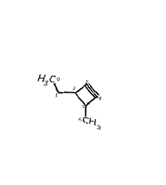 CCC1C#CC1C